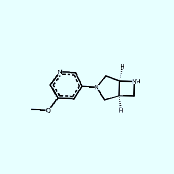 COc1cncc(N2C[C@@H]3CN[C@@H]3C2)c1